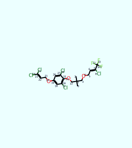 CC(C)(COCC=C(Cl)C(F)(F)F)COc1c(Cl)cc(OCC=C(Cl)Cl)cc1Cl